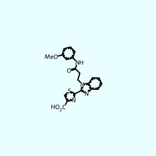 COc1cccc(NC(=O)CCn2c(-c3nc(C(=O)O)cs3)nc3ccccc32)c1